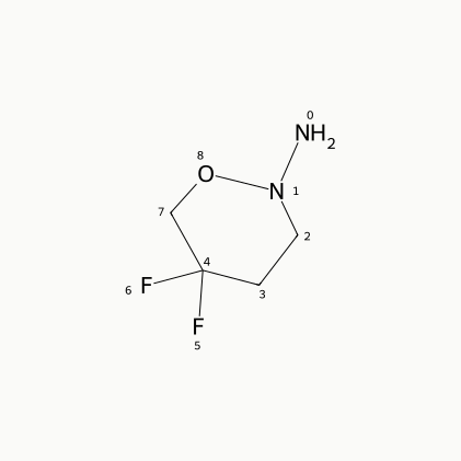 NN1CCC(F)(F)CO1